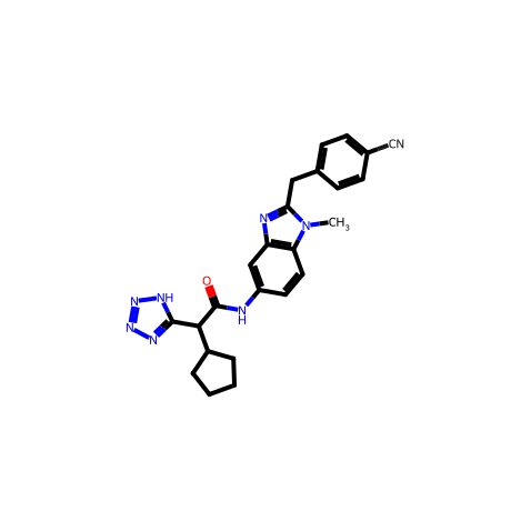 Cn1c(Cc2ccc(C#N)cc2)nc2cc(NC(=O)C(c3nnn[nH]3)C3CCCC3)ccc21